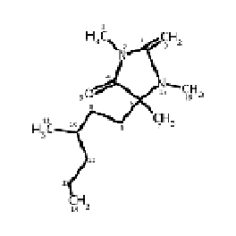 C=C1N(C)C(=O)C(C)(CCC(C)CCC)N1C